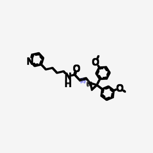 COc1cccc(C2(c3cccc(OC)c3)C[C@H]2/C=C/C(=O)NCCCCc2cccnc2)c1